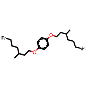 CC(C)CCCC(C)CCOc1ccc(OCCC(C)CCCC(C)C)cc1